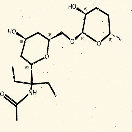 CCC(CC)(NC(C)=O)[C@H]1C[C@@H](O)C[C@@H](CO[C@@H]2O[C@@H](C)CC[C@@H]2O)O1